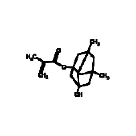 C=C(C)C(=O)OC12CC3(C)CC(C)(CC(O)(C3)C1)C2